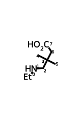 CCNCC(C)(C)CC(=O)O